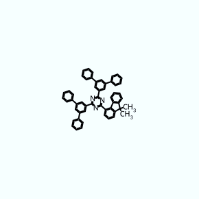 CC1(C)c2ccccc2-c2c(-c3nc(-c4cc(-c5ccccc5)cc(-c5ccccc5)c4)nc(-c4cc(-c5ccccc5)cc(-c5ccccc5)c4)n3)cccc21